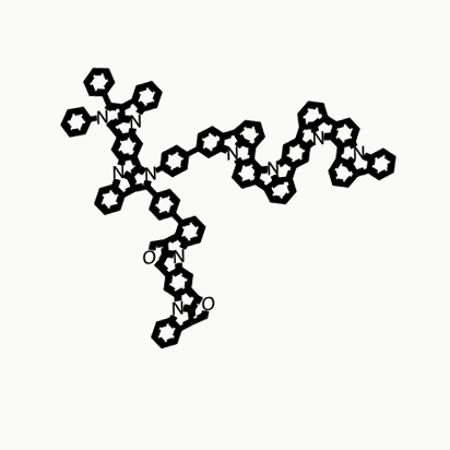 c1ccc(-c2c3c4ccccc4n4c5cc6c7c8c(c(-c9ccc(-c%10cccc%11c%10c%10coc%12c%13cc%14c(cc%13n%11c%10%12)c%10occ%11c%12ccccc%12n%14c%11%10)cc9)n7-c7ccc(-c9ccc%10c%11cccc%12c%13c(ccc%14c%15cccc%16c%17cc%18c(cc%17n(c%16%15)c%14%13)c%13cccc%14c%15ccc%16c(c%17cccc%19c%20ccccc%20n%16c%19%17)c%15n%18c%13%14)n(c%10c9)c%11%12)cc7)c7ccccc7n8c6cc5c(c34)n2-c2ccccc2)cc1